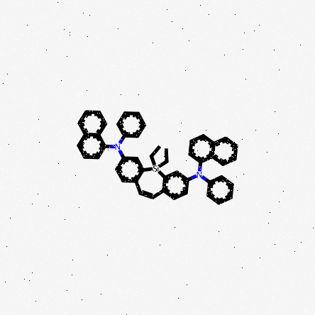 CC[Si]1(CC)c2cc(N(c3ccccc3)c3cccc4ccccc34)ccc2C=Cc2ccc(N(c3ccccc3)c3cccc4ccccc34)cc21